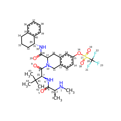 CN[C@@H](C)C(=O)N[C@H](C(=O)N1Cc2ccc(OS(=O)(=O)C(F)(F)F)cc2CC1C(=O)N[C@@H]1CCCc2ccccc21)C(C)(C)C